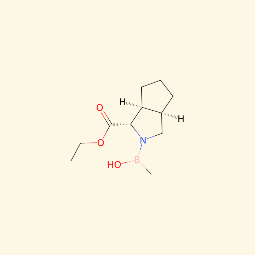 CCOC(=O)[C@@H]1[C@H]2CCC[C@H]2CN1B(C)O